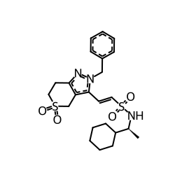 C[C@H](NS(=O)(=O)/C=C/c1c2c(nn1Cc1ccccc1)CCS(=O)(=O)C2)C1CCCCC1